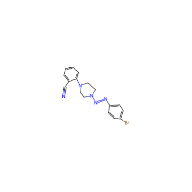 N#Cc1ccccc1N1CCN(/N=N/c2ccc(Br)cc2)CC1